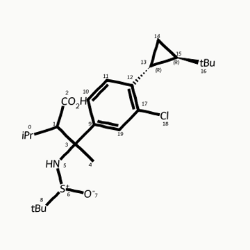 CC(C)C(C(=O)O)C(C)(N[S+]([O-])C(C)(C)C)c1ccc([C@@H]2C[C@H]2C(C)(C)C)c(Cl)c1